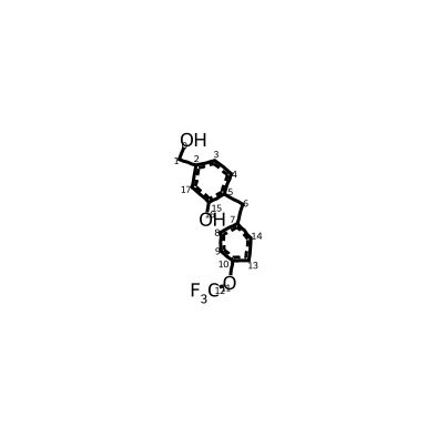 OCc1ccc(Cc2ccc(OC(F)(F)F)cc2)c(O)c1